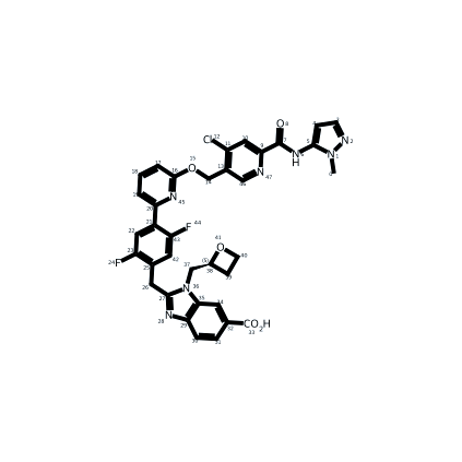 Cn1nccc1NC(=O)c1cc(Cl)c(COc2cccc(-c3cc(F)c(Cc4nc5ccc(C(=O)O)cc5n4C[C@@H]4CCO4)cc3F)n2)cn1